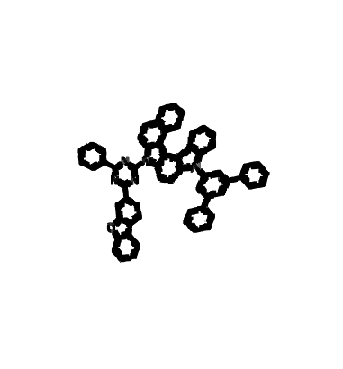 c1ccc(-c2cc(-c3ccccc3)cc(-n3c4ccccc4c4c5c6c7ccccc7ccc6n(-c6nc(-c7ccccc7)nc(-c7ccc8c(c7)oc7ccccc78)n6)c5ccc43)c2)cc1